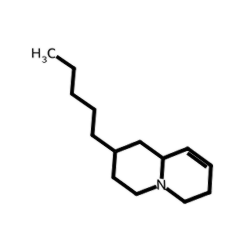 CCCCCC1CCN2CCC=CC2C1